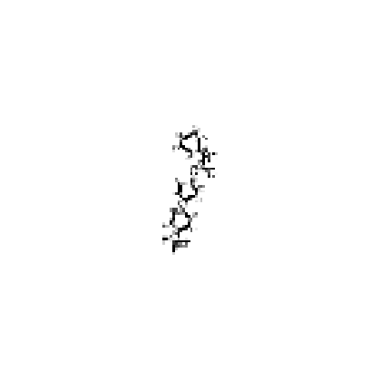 CN(C(=O)Oc1ccc(-c2ccc(C(F)(F)F)cc2)cc1)c1ccccc1